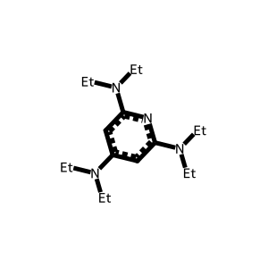 CCN(CC)c1cc(N(CC)CC)nc(N(CC)CC)c1